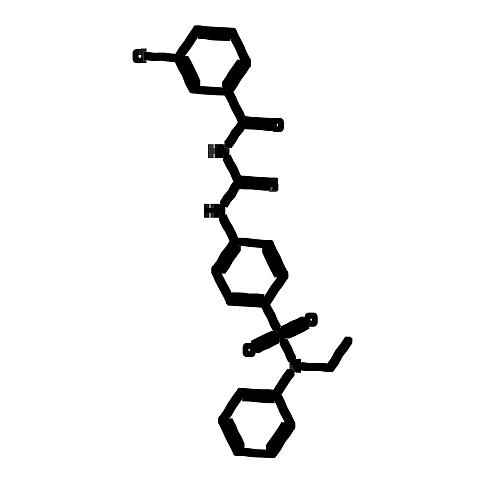 CCN(c1ccccc1)S(=O)(=O)c1ccc(NC(=S)NC(=O)c2cccc(Cl)c2)cc1